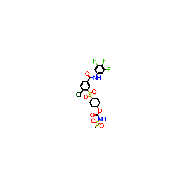 CS(=O)(=O)NC(=O)O[C@H]1CC[C@H](S(=O)(=O)c2cc(C(=O)Nc3cc(F)c(F)c(F)c3)ccc2Cl)CC1